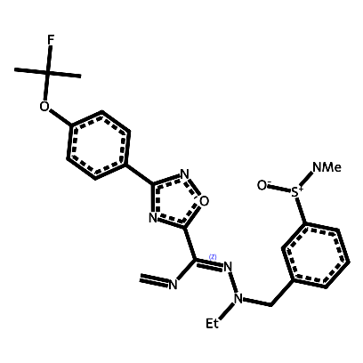 C=N/C(=N\N(CC)Cc1cccc([S+]([O-])NC)c1)c1nc(-c2ccc(OC(C)(C)F)cc2)no1